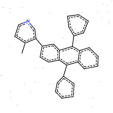 Cc1ccncc1-c1ccc2c(-c3ccccc3)c3ccccc3c(-c3ccccc3)c2c1